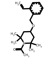 C=Cc1ccccc1COC1CC(C)(C)N(C(C)=O)C(C)(C)C1